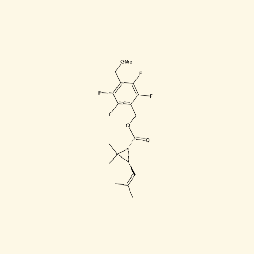 COCc1c(F)c(F)c(COC(=O)[C@@H]2[C@@H](C=C(C)C)C2(C)C)c(F)c1F